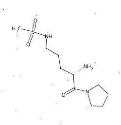 CS(=O)(=O)NCCC[C@H](N)C(=O)N1CCCC1